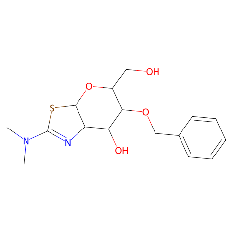 CN(C)C1=NC2C(OC(CO)C(OCc3ccccc3)C2O)S1